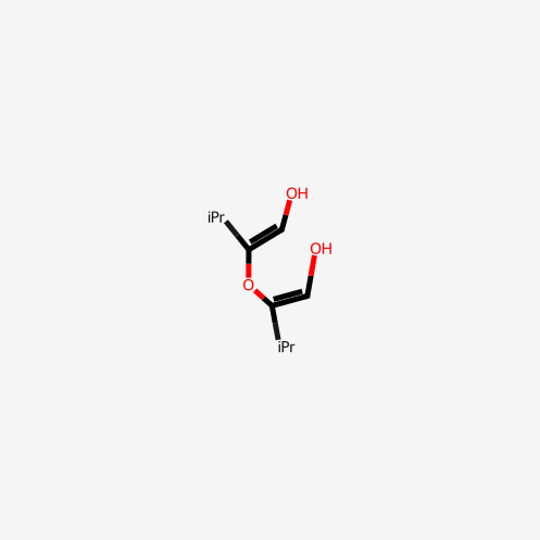 CC(C)C(=CO)OC(=CO)C(C)C